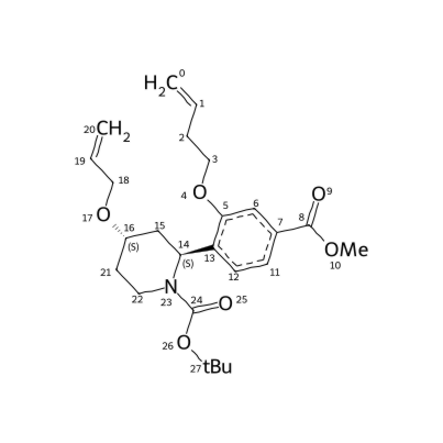 C=CCCOc1cc(C(=O)OC)ccc1[C@@H]1C[C@@H](OCC=C)CCN1C(=O)OC(C)(C)C